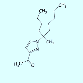 CCCCCC(C)(CCCC)n1ccc(C(C)=O)n1